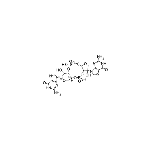 Nc1nc2c(ncn2[C@@H]2OC[C@H]3O[P@](=O)(S)OC4C(CO[P@](=O)(S)OC3C2O)OCC4(O)n2cnc3c(=O)[nH]c(N)nc32)c(=O)[nH]1